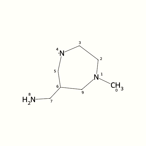 CN1CC[N]CC(CN)C1